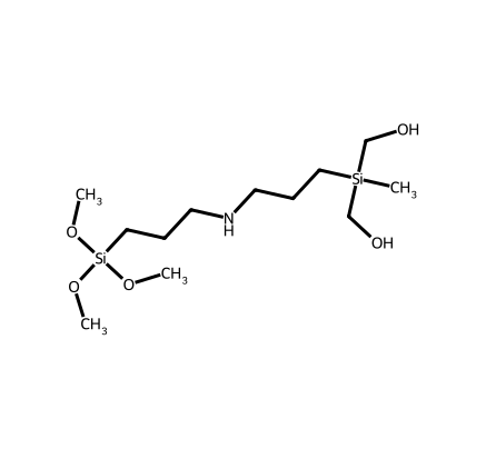 CO[Si](CCCNCCC[Si](C)(CO)CO)(OC)OC